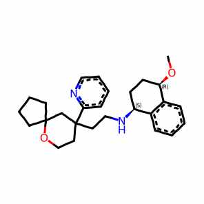 CO[C@@H]1CC[C@H](NCCC2(c3ccccn3)CCOC3(CCCC3)C2)c2ccccc21